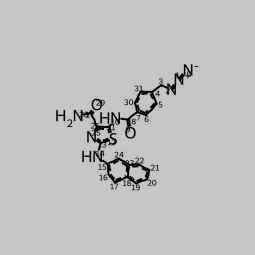 [N-]=[N+]=NCc1ccc(C(=O)Nc2sc(Nc3ccc4ccccc4c3)nc2C(N)=O)cc1